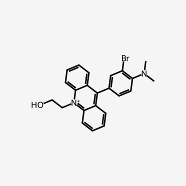 CN(C)c1ccc(-c2c3ccccc3[n+](CCO)c3ccccc23)cc1Br